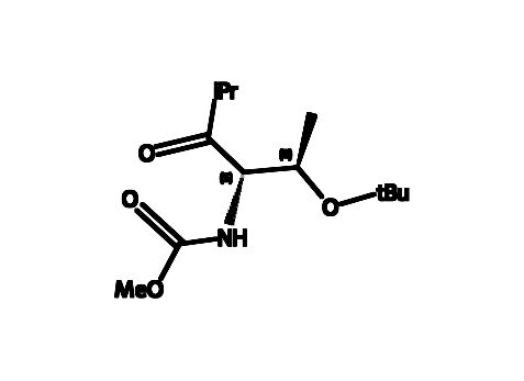 COC(=O)N[C@H](C(=O)C(C)C)[C@@H](C)OC(C)(C)C